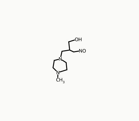 CN1CCN(CC(CO)CN=O)CC1